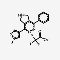 Cn1cc(-c2nnc(-c3ccccc3)c3c2CNC3)cn1.O=C(O)C(F)(F)F